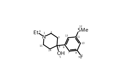 CCN1CCC(O)(c2cc(F)cc(SC)c2)CC1